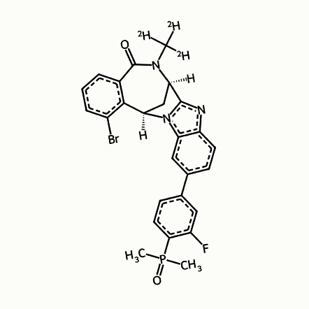 [2H]C([2H])([2H])N1C(=O)c2cccc(Br)c2[C@H]2C[C@@H]1c1nc3ccc(-c4ccc(P(C)(C)=O)c(F)c4)cc3n12